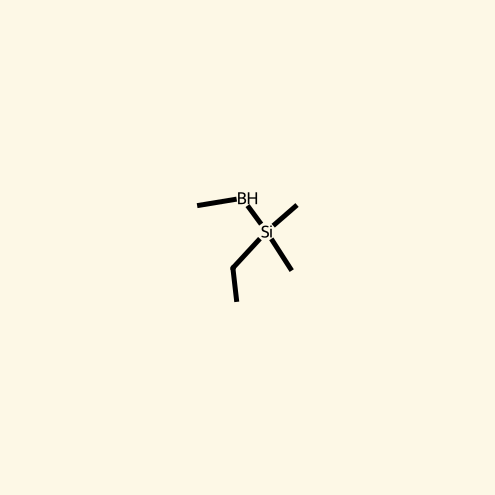 CB[Si](C)(C)CC